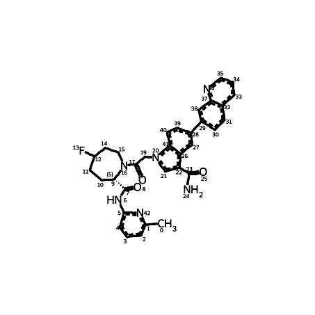 Cc1cccc(NC(=O)[C@@H]2CCC(F)CCN2C(=O)Cn2cc(C(N)=O)c3cc(-c4ccc5cccnc5c4)ccc32)n1